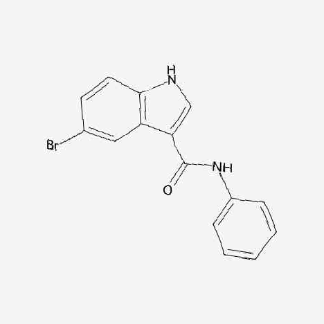 O=C(Nc1ccccc1)c1c[nH]c2ccc(Br)cc12